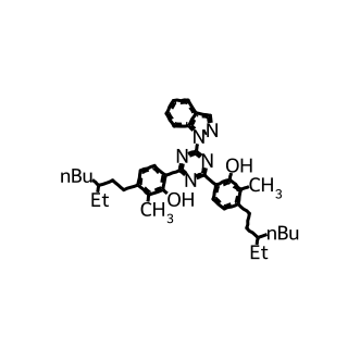 CCCCC(CC)CCc1ccc(-c2nc(-c3ccc(CCC(CC)CCCC)c(C)c3O)nc(-n3ncc4ccccc43)n2)c(O)c1C